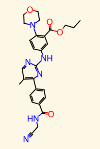 CCCOC(=O)c1cc(Nc2ncc(C)c(-c3ccc(C(=O)NCC#N)cc3)n2)ccc1N1CCOCC1